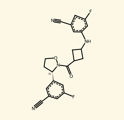 N#Cc1cc(F)cc(NC2CC(C(=O)N3OCC[C@H]3c3cc(F)cc(C#N)c3)C2)c1